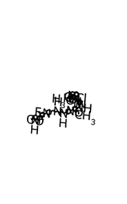 COc1cc(N2CCC(NCCNCCC3CCN(c4cc(F)c(C5CCC(=O)NC5=O)c(F)c4)CC3)CC2)ccc1Nc1ncc(Cl)c(Nc2cccc3c2N(S(C)(=O)=O)CC3)n1